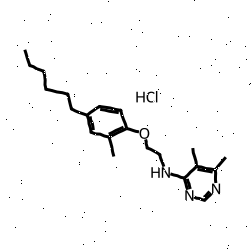 CCCCCCc1ccc(OCCNc2ncnc(C)c2C)c(C)c1.Cl